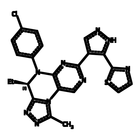 CC[C@@H]1c2nnc(C)n2-c2cnc(-c3cn[nH]c3-c3nccs3)nc2N1c1ccc(Cl)cc1